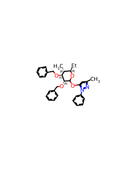 CC[C@H]1OC(Oc2cc(C)nn2-c2ccccc2)[C@H](OCc2ccccc2)[C@@H](OCc2ccccc2)[C@@H]1C